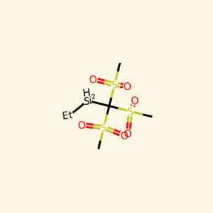 CC[SiH2]C(S(C)(=O)=O)(S(C)(=O)=O)S(C)(=O)=O